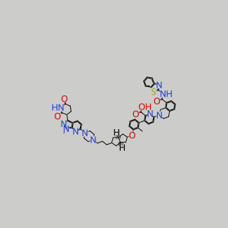 Cc1c(OC2C[C@H]3CC(CCCN4CCN(c5ccc6c(C7CCC(=O)NC7=O)nn(C)c6n5)CC4)C[C@H]3C2)cccc1-c1ccc(N2CCc3cccc(C(=O)Nc4nc5ccccc5s4)c3C2)nc1C(=O)O